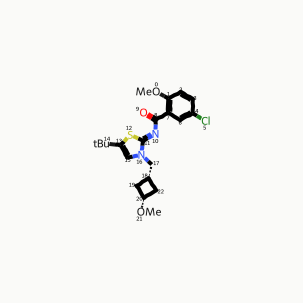 COc1ccc(Cl)cc1C(=O)/N=c1\sc(C(C)(C)C)cn1C[C@H]1C[C@@H](OC)C1